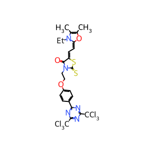 CCN1C(=CC=C2SC(=S)N(CCOc3ccc(-c4nc(C(Cl)(Cl)Cl)nc(C(Cl)(Cl)Cl)n4)cc3)C2=O)OC(C)=C1C